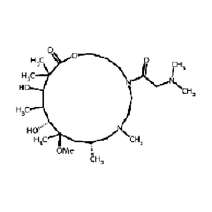 CO[C@]1(C)C[C@@H](C)CN(C)CCN(C(=O)CN(C)C)CCCOC(=O)C(C)(C)C(O)[C@H](C)[C@H]1O